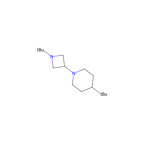 CC(C)(C)C1CCN(C2CN(C(C)(C)C)C2)CC1